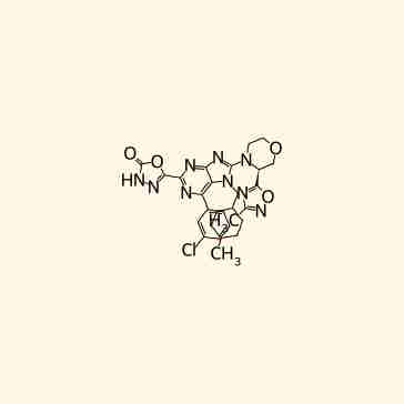 Cc1noc([C@@H]2COCCN2c2nc3nc(-c4n[nH]c(=O)o4)nc(-c4cccc(Cl)c4)c3n2CC2CCC(C)CC2)n1